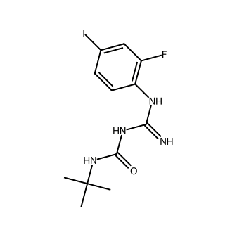 CC(C)(C)NC(=O)NC(=N)Nc1ccc(I)cc1F